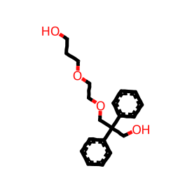 OCCCOCCOCC(CO)(c1ccccc1)c1ccccc1